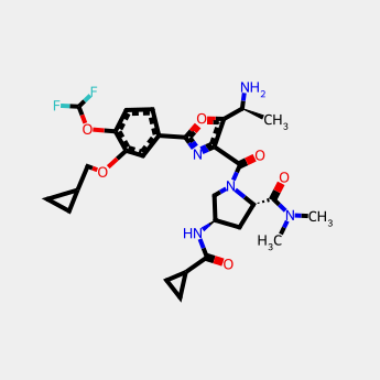 C[C@H](N)c1oc(-c2ccc(OC(F)F)c(OCC3CC3)c2)nc1C(=O)N1C[C@H](NC(=O)C2CC2)C[C@H]1C(=O)N(C)C